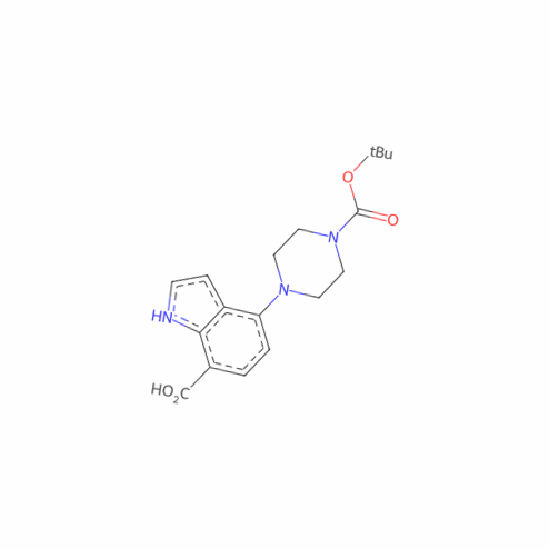 CC(C)(C)OC(=O)N1CCN(c2ccc(C(=O)O)c3[nH]ccc23)CC1